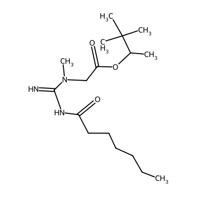 CCCCCCC(=O)NC(=N)N(C)CC(=O)OC(C)C(C)(C)C